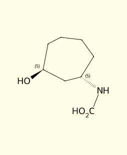 O=C(O)N[C@H]1CCCC[C@H](O)C1